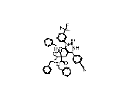 CC1=C(CC(C(=O)OCc2ccccc2)(C(=O)OCc2ccccc2)C(=O)OCc2ccccc2)C(c2ccc(C#N)cc2)NC(=O)N1c1cccc(C(F)(F)F)c1